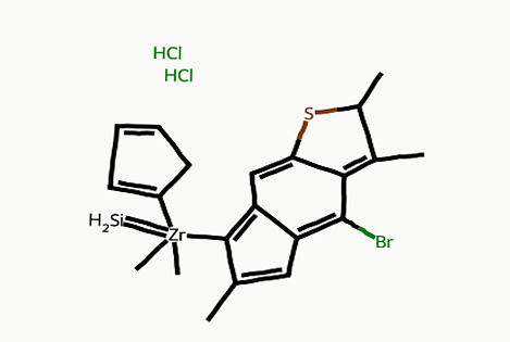 CC1=Cc2c(Br)c3c(cc2=[C]1[Zr]([CH3])([CH3])(=[SiH2])[C]1=CC=CC1)SC(C)C=3C.Cl.Cl